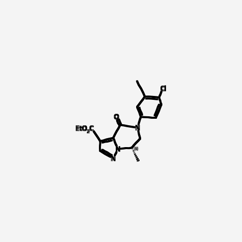 CCOC(=O)c1cnn2c1C(=O)N(c1ccc(Cl)c(C)c1)C[C@@H]2C